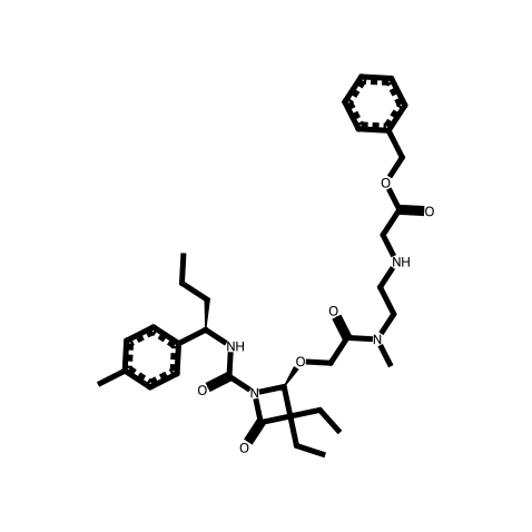 CCC[C@@H](NC(=O)N1C(=O)C(CC)(CC)[C@@H]1OCC(=O)N(C)CCNCC(=O)OCc1ccccc1)c1ccc(C)cc1